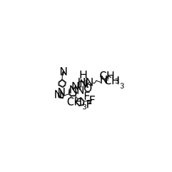 Cc1c(-c2ccnn2-c2ccc(C#N)cc2)cn2nc(NC(=O)NCCCN(C)C)nc2c1-c1cccc(C(F)(F)F)c1